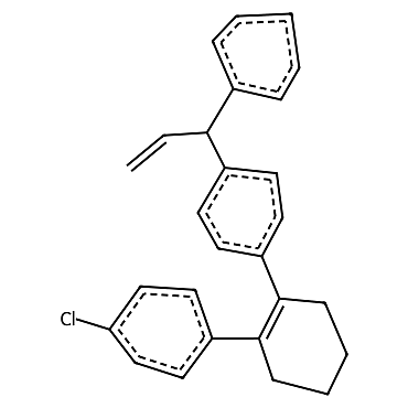 C=CC(c1ccccc1)c1ccc(C2=C(c3ccc(Cl)cc3)CCCC2)cc1